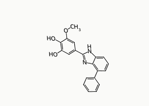 COc1cc(-c2nc3c(-c4ccccc4)cccc3[nH]2)cc(O)c1O